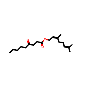 CCCCCC(=O)CCC(=O)OCC=C(C)CCC=C(C)C